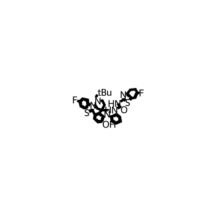 CC(C)(C)CN1CCC2(CC1)CN(c1ccccc1NC(=O)Nc1nc3c(s1)C=C(F)CC3)c1c(O)ccc(-c3nc4ccc(F)cc4s3)c12